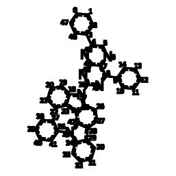 c1ccc(-c2cnc3c(-c4ccccc4)nc(-n4c5ccccc5c5c4ccc4c6ccccc6n(-c6ccccc6)c45)nc3n2)cc1